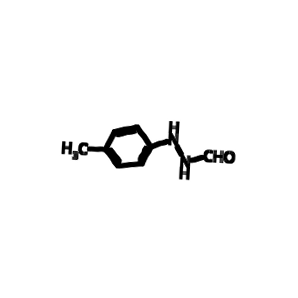 Cc1ccc(NNC=O)cc1